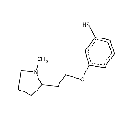 CN1CCCC1CCOc1cccc(S)c1